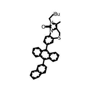 CCC(C)Cn1c(C)c2n(c1=O)-c1ccc(-c3c4ccccc4c(-c4ccc5ccccc5c4)c4ccccc34)cc1SC2